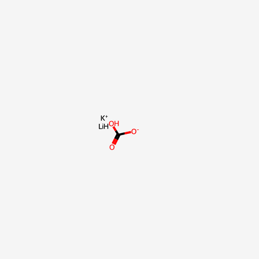 O=C([O-])O.[K+].[LiH]